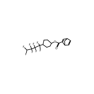 O=C(OC1CCC(C(F)(F)C(F)(F)C(F)(F)C(F)F)CC1)C1=CC2C=CC1C2